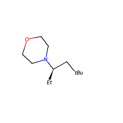 CC[C@H](CC(C)(C)C)N1CCOCC1